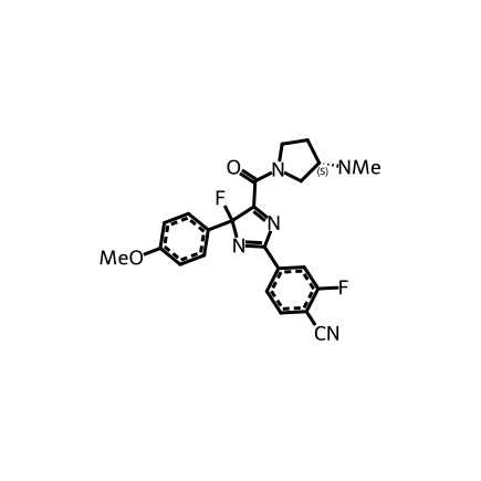 CN[C@H]1CCN(C(=O)C2=NC(c3ccc(C#N)c(F)c3)=NC2(F)c2ccc(OC)cc2)C1